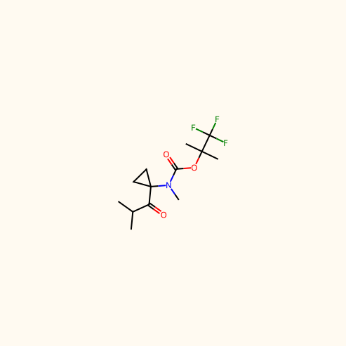 CC(C)C(=O)C1(N(C)C(=O)OC(C)(C)C(F)(F)F)CC1